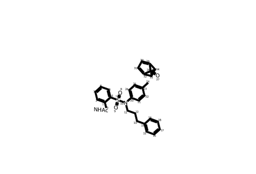 CC(=O)Nc1ccccc1S(=O)(=O)N(CCCc1ccccc1)c1ccc(C)cc1.O=C1C2=CC=C1C=C2